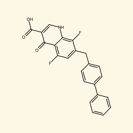 O=C(O)c1c[nH]c2c(F)c(Cc3ccc(-c4ccccc4)cc3)cc(F)c2c1=O